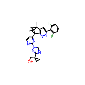 CC1(C)[C@H]2CC[C@@]1(c1ccnc(-n3cnc(C4(CO)CC4)n3)n1)c1nnc(-c3c(F)cccc3F)cc12